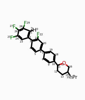 [2H]c1c(-c2ccc(-c3ccc(C4CCC(CCC)CO4)cc3)cc2F)cc(F)c(F)c1F